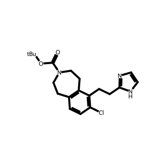 CC(C)(C)OC(=O)N1CCc2ccc(Cl)c(CCc3ncc[nH]3)c2CC1